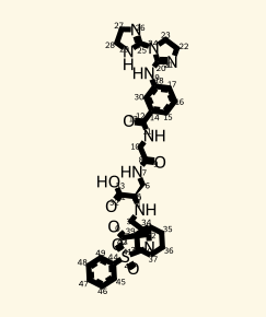 O=CC1(CN[C@H](CNC(=O)CNC(=O)c2cccc(NC3=NCCN3C3=NCCN3)c2)C(=O)O)C2CCC(CC2)N1S(=O)(=O)c1ccccc1